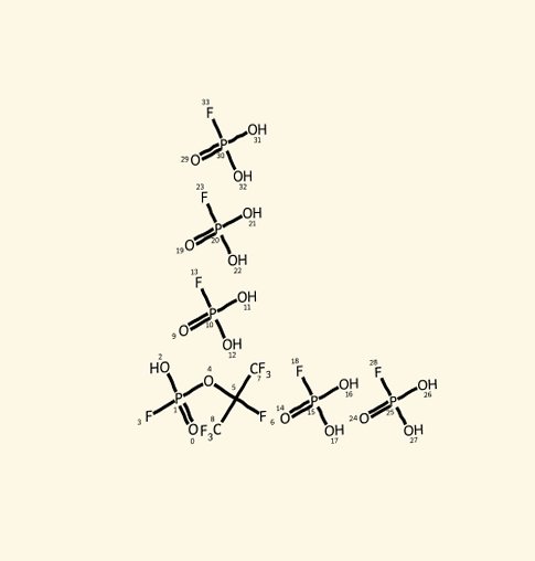 O=P(O)(F)OC(F)(C(F)(F)F)C(F)(F)F.O=P(O)(O)F.O=P(O)(O)F.O=P(O)(O)F.O=P(O)(O)F.O=P(O)(O)F